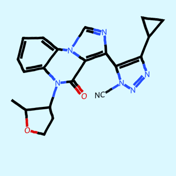 CC1OCCC1n1c(=O)c2c(-c3c(C4CC4)nnn3C#N)ncn2c2ccccc21